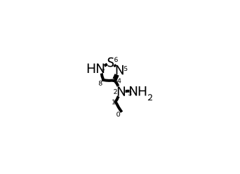 CCN(N)C1=NSNC1